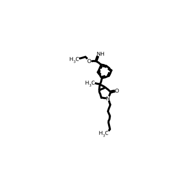 CCCCCCN1CC2C(C1=O)C2(C)c1cccc(C(=N)OCC)c1